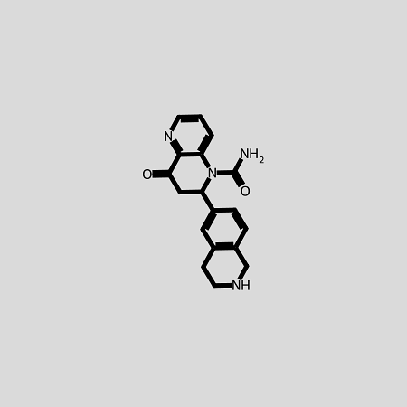 NC(=O)N1c2cccnc2C(=O)CC1c1ccc2c(c1)CCNC2